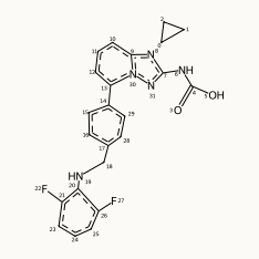 C1CC1.O=C(O)Nc1nc2cccc(-c3ccc(CNc4c(F)cccc4F)cc3)n2n1